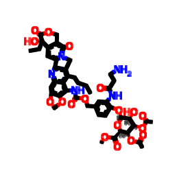 CCCCc1c2c(nc3cc4c(c(NC(=O)OCc5ccc(O[C@@H]6O[C@H](C(=O)OC)[C@@H](OC(C)=O)[C@H](OC(C)=O)[C@H]6O)c(NC(=O)CCN)c5)c13)OCO4)-c1cc3c(c(=O)n1C2)COC(=O)[C@]3(O)CC